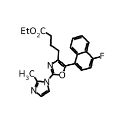 CCOC(=O)CCCc1nc(-n2ccnc2C)oc1-c1ccc(F)c2ccccc12